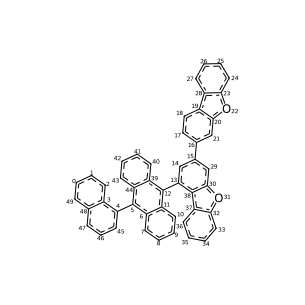 c1ccc2c(-c3c4ccccc4c(-c4cc(-c5ccc6c(c5)oc5ccccc56)cc5oc6ccccc6c45)c4ccccc34)cccc2c1